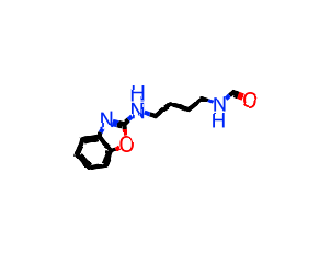 O=CNCCCCNc1nc2ccccc2o1